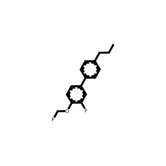 CCCc1ccc(-c2ccc(OCF)c(F)c2)cc1